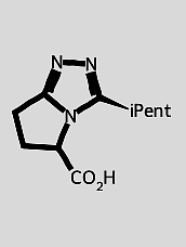 CCC[C@H](C)c1nnc2n1C(C(=O)O)CC2